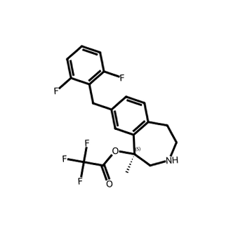 C[C@@]1(OC(=O)C(F)(F)F)CNCCc2ccc(Cc3c(F)cccc3F)cc21